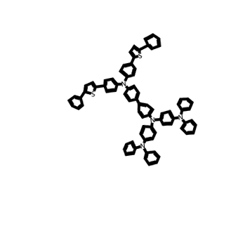 c1ccc(-c2ccc(-c3ccc(N(c4ccc(-c5ccc(N(c6ccc(N(c7ccccc7)c7ccccc7)cc6)c6ccc(N(c7ccccc7)c7ccccc7)cc6)cc5)cc4)c4ccc(-c5ccc(-c6ccccc6)s5)cc4)cc3)s2)cc1